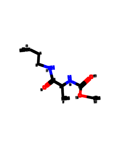 CCCCCCCCCCCCNC(=O)C(CCCC)NC(=O)OC(C)(C)C